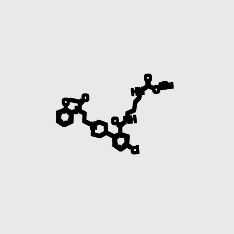 CC(C)(C)OC(=O)NCCCCNC(=O)c1cc(Cl)ccc1C1CCN(CCN2C(=O)COc3ccccc32)CC1